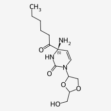 CCCCCC(=O)[C@]1(N)C=CN(C2COC(CO)O2)C(=O)N1